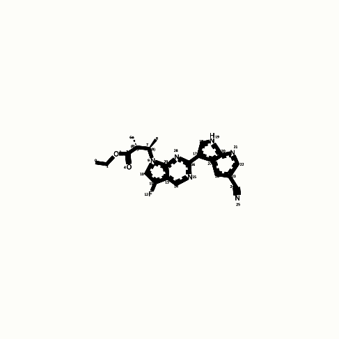 CCOC(=O)[C@H](C)[C@@H](C)n1cc(F)c2cnc(-c3c[nH]c4ncc(C#N)cc34)nc21